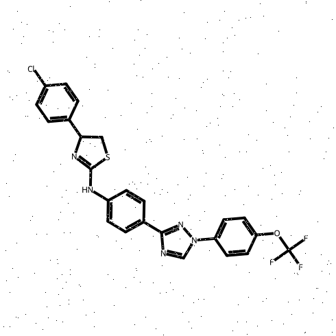 FC(F)(F)Oc1ccc(-n2cnc(-c3ccc(NC4=NC(c5ccc(Cl)cc5)CS4)cc3)n2)cc1